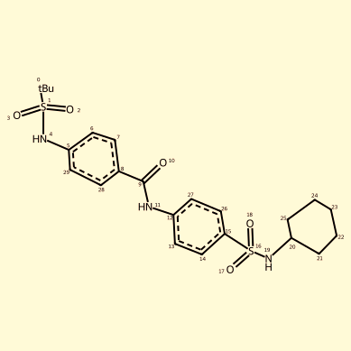 CC(C)(C)S(=O)(=O)Nc1ccc(C(=O)Nc2ccc(S(=O)(=O)NC3CCCCC3)cc2)cc1